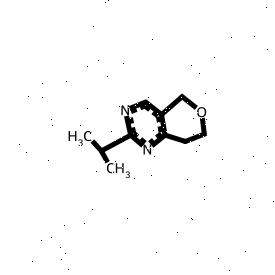 CC(C)c1ncc2c(n1)CCOC2